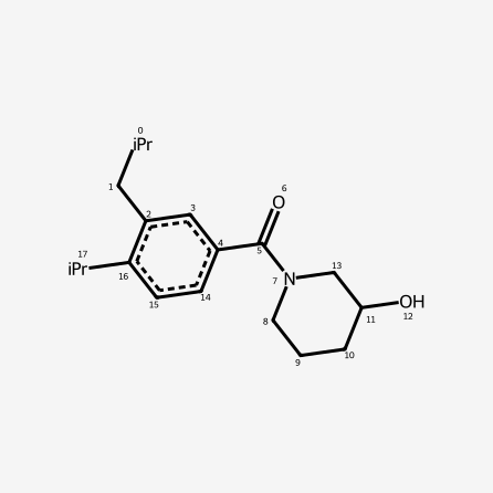 CC(C)Cc1cc(C(=O)N2CCCC(O)C2)ccc1C(C)C